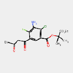 CCOC(=O)C(C)(C)OC(=O)c1cc(C(=O)CC(=O)CC)c(F)c(N)c1Cl